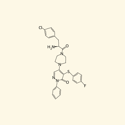 N[C@@H](Cc1ccc(Cl)cc1)C(=O)N1CCN(c2cnn(-c3ccccc3)c(=O)c2Sc2ccc(F)cc2)CC1